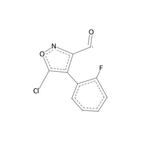 O=[C]c1noc(Cl)c1-c1ccccc1F